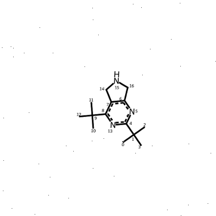 CC(C)(C)c1nc2c(c(C(C)(C)C)n1)CNC2